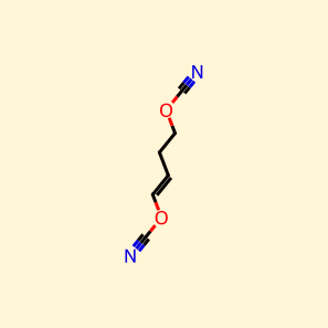 N#COC=CCCOC#N